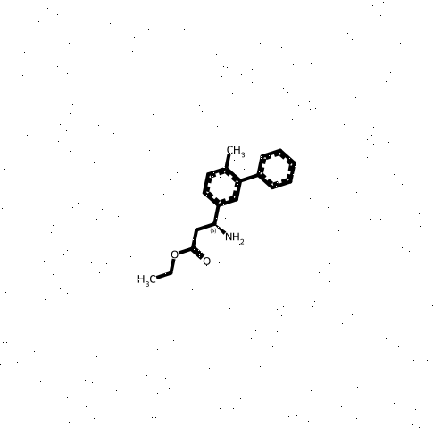 CCOC(=O)C[C@H](N)c1ccc(C)c(-c2ccccc2)c1